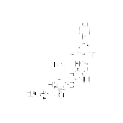 CC(C)(C)[Si](C)(C)OC1CO[C@H]2[C@@H]1OC[C@H]2Oc1[nH]c2ccc(-c3c(F)cc(N4CCOCC4)cc3F)nc2c1CCO